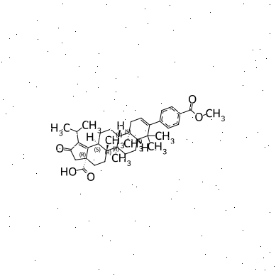 COC(=O)c1ccc(C2=CC[C@]3(C)[C@H]4CC[C@@H]5C6=C(C(C)C)C(=O)C[C@]6(C(=O)O)CC[C@@]5(C)[C@]4(C)CC[C@H]3C2(C)C)cc1